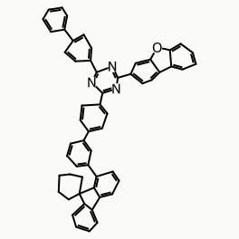 c1ccc(-c2ccc(-c3nc(-c4ccc(-c5cccc(-c6cccc7c6C6(CCCCC6)c6ccccc6-7)c5)cc4)nc(-c4ccc5c(c4)oc4ccccc45)n3)cc2)cc1